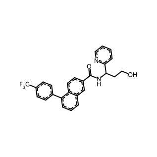 O=C(NC(CCO)c1ccccn1)c1ccc2c(-c3ccc(C(F)(F)F)cc3)cccc2c1